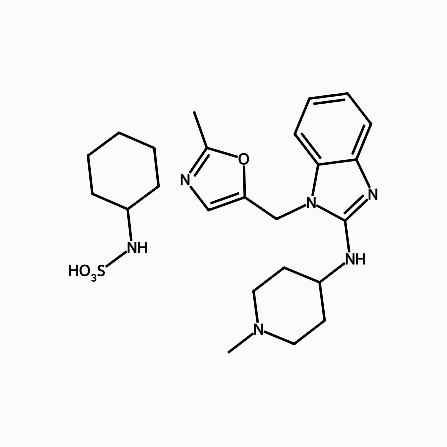 Cc1ncc(Cn2c(NC3CCN(C)CC3)nc3ccccc32)o1.O=S(=O)(O)NC1CCCCC1